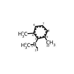 CB(I)c1c(C)cccc1C